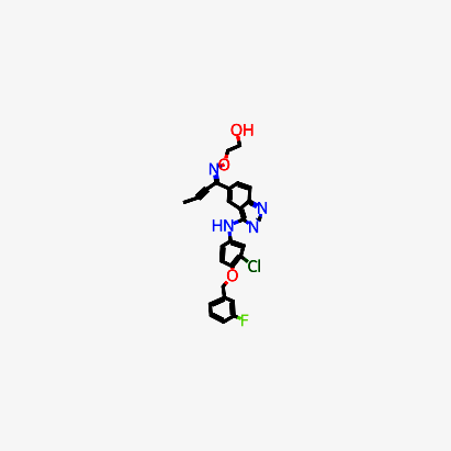 CC#C/C(=N/OCCO)c1ccc2ncnc(Nc3ccc(OCc4cccc(F)c4)c(Cl)c3)c2c1